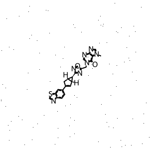 Cn1cnc2ncn(Cc3nc([C@H]4[C@@H]5C=C(c6ccc7ncsc7c6)C[C@@H]54)no3)c(=O)c21